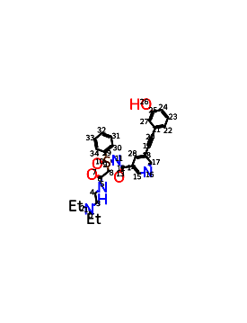 CCN(CC)CCNC(=O)CS(=O)(=NC(=O)c1cncc(C#Cc2cccc(O)c2)c1)c1ccccc1